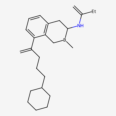 C=C(CC)NC1Cc2cccc(C(=C)CCCC3CCCCC3)c2CB1C